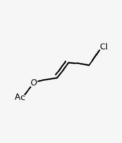 CC(=O)OC=CCCl